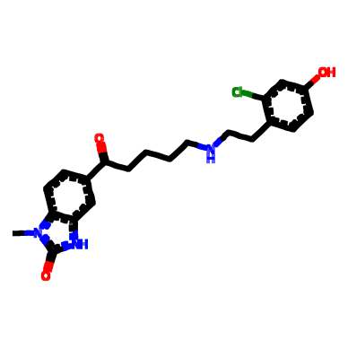 Cn1c(=O)[nH]c2cc(C(=O)CCCCNCCc3ccc(O)cc3Cl)ccc21